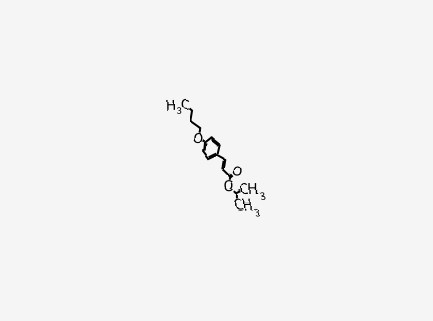 CCCCOc1ccc(C=CC(=O)OC(C)C)cc1